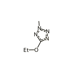 CCOc1nnn(C)n1